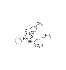 CN1CCC(NC(=O)C(CC2CCCCC2)NC(=O)NC(CCCCN)C(=O)O)CC1